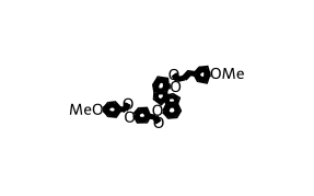 COc1ccc(/C=C/C(=O)Oc2cccc3c2C2(CC3)CCc3cccc(OC(=O)c4ccc(OC(=O)c5ccc(OC)cc5)cc4)c32)cc1